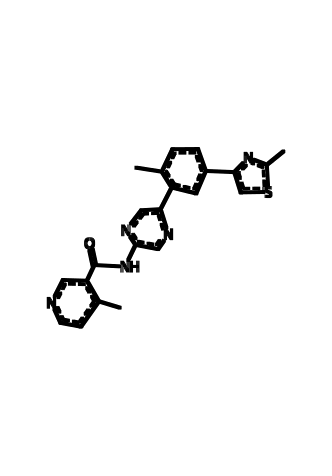 Cc1nc(-c2ccc(C)c(-c3cnc(NC(=O)c4cnccc4C)cn3)c2)cs1